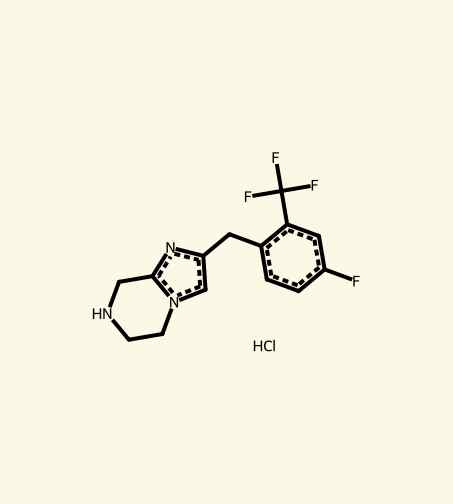 Cl.Fc1ccc(Cc2cn3c(n2)CNCC3)c(C(F)(F)F)c1